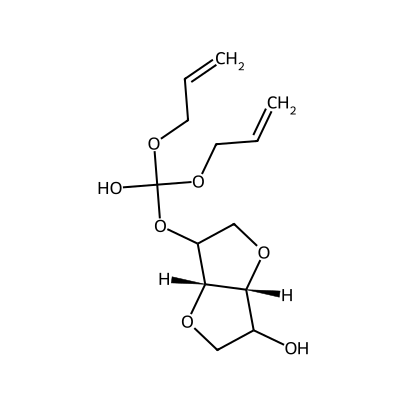 C=CCOC(O)(OCC=C)OC1CO[C@@H]2C(O)CO[C@H]12